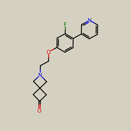 O=C1CC2(C1)CN(CCOc1ccc(-c3cccnc3)c(F)c1)C2